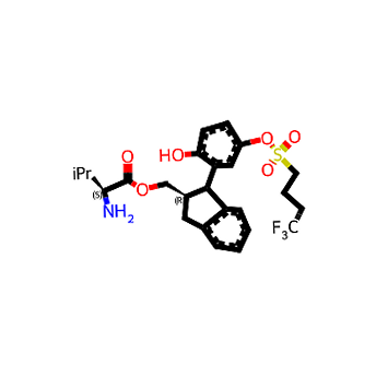 CC(C)[C@H](N)C(=O)OC[C@@H]1Cc2ccccc2C1c1cc(OS(=O)(=O)CCCC(F)(F)F)ccc1O